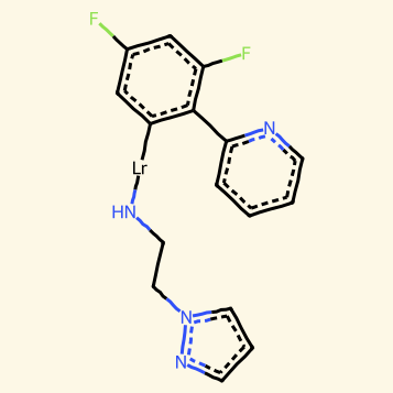 Fc1cc(F)c(-c2ccccn2)[c]([Lr][NH]CCn2cccn2)c1